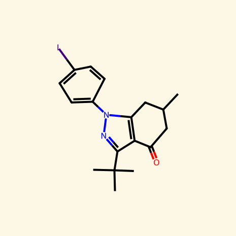 CC1CC(=O)c2c(C(C)(C)C)nn(-c3ccc(I)cc3)c2C1